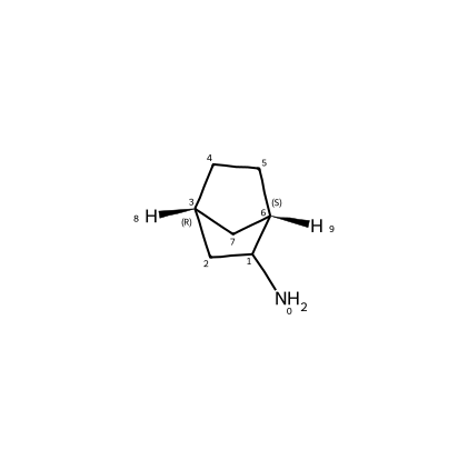 NC1C[C@@H]2CC[C@H]1C2